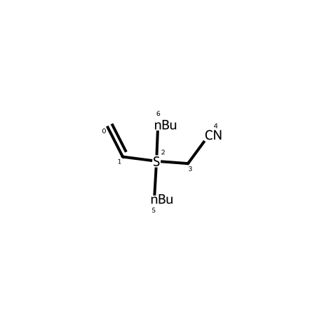 C=CS(CC#N)(CCCC)CCCC